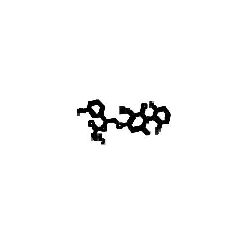 Cc1cc(OCC(OC(N)=O)c2cccc(F)c2)c(Br)c(=O)n1-c1c(F)cccc1F